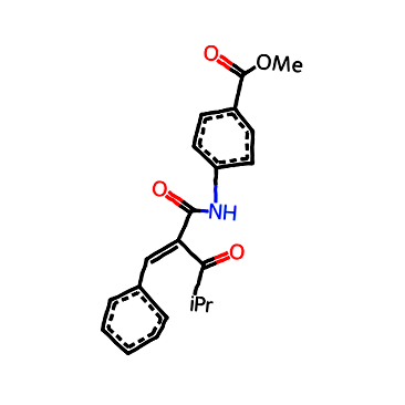 COC(=O)c1ccc(NC(=O)C(=Cc2ccccc2)C(=O)C(C)C)cc1